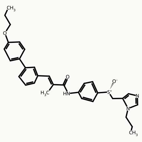 CCCOc1ccc(-c2cccc(/C=C(\C)C(=O)Nc3ccc([S@+]([O-])Cc4cncn4CCC)cc3)c2)cc1